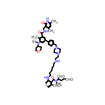 CCN(c1cc(-c2ccc(CN3CCN(CCNCCCCCCNc4cccc(C=O)c4C(=O)N(C)C(C=O)CCC=O)CC3)cc2)cc(C(=O)NCc2c(C)cc(C)[nH]c2=O)c1C)C1CCOCC1